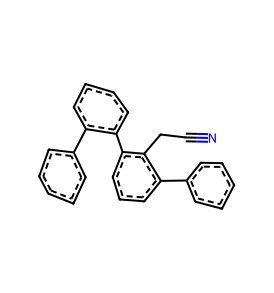 N#CCc1c(-c2ccccc2)cccc1-c1ccccc1-c1ccccc1